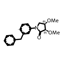 CO[C@@H]1CN(c2cc[c]c(Cc3ccccc3)c2)C(=O)[C@@H]1OC